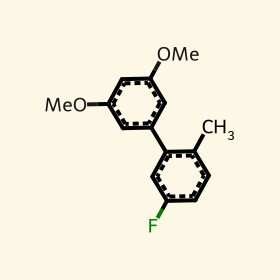 COc1cc(OC)cc(-c2cc(F)ccc2C)c1